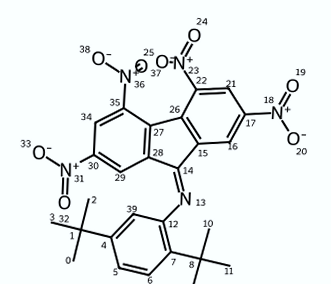 CC(C)(C)c1ccc(C(C)(C)C)c(N=C2c3cc([N+](=O)[O-])cc([N+](=O)[O-])c3-c3c2cc([N+](=O)[O-])cc3[N+](=O)[O-])c1